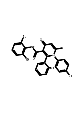 CCc1cccc(CC)c1NC(=O)c1c(-c2ccccc2Cl)n(-c2ccc(Cl)cc2)c(C)cc1=O